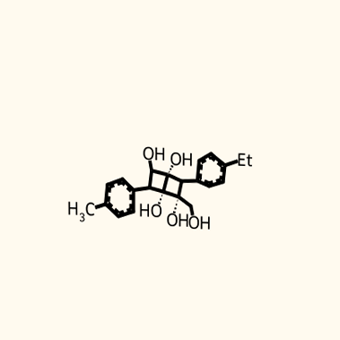 CCc1ccc(C2[C@]3(O)C(O)C(c4ccc(C)cc4)[C@]3(O)[C@]2(O)CO)cc1